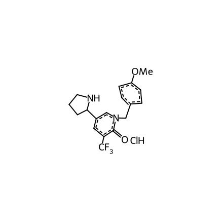 COc1ccc(Cn2cc(C3CCCN3)cc(C(F)(F)F)c2=O)cc1.Cl